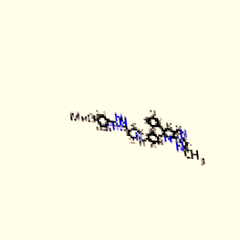 COc1ccc(-c2nnc(C3CCN(Cc4ccc(-c5nc6c(cnc7cc(C)nn76)cc5-c5ccccc5)cc4)CC3)[nH]2)cc1